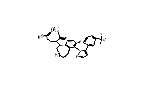 O=C(O)CC(C(=O)O)C1CNCCc2c1ccc(Cl)c2-n1nccc1-c1cccc(C(F)(F)F)c1